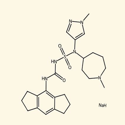 CN1CCCC(N(c2cnn(C)c2)S(=O)(=O)NC(=O)Nc2c3c(cc4c2CCC4)CCC3)CC1.[NaH]